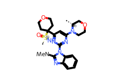 CNc1nc2ccccc2n1-c1nc(N2CCOC[C@H]2C)cc(C2([S@@](C)(=N)=O)CCOCC2)n1